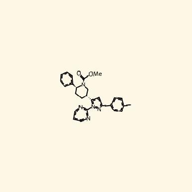 COC(=O)N1C[C@H](c2cc(-c3ccc(C)cc3)nn2-c2ncccn2)CC[C@H]1c1ccccc1